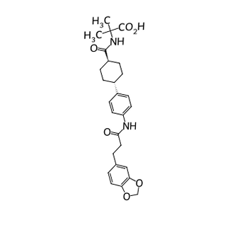 CC(C)(NC(=O)[C@H]1CC[C@H](c2ccc(NC(=O)CCc3ccc4c(c3)OCO4)cc2)CC1)C(=O)O